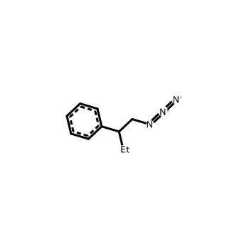 CCC(CN=[N+]=[N-])c1ccccc1